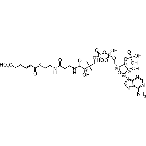 CC(C)(COP(=O)(O)OP(=O)(O)OC[C@H]1O[C@@H](n2cnc3c(N)ncnc32)[C@H](O)[C@@H]1OP(=O)(O)O)[C@@H](O)C(=O)NCCC(=O)NCCSC(=O)C=CCCC(=O)O